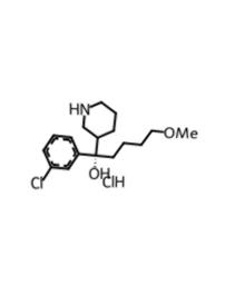 COCCCC[C@@](O)(c1cccc(Cl)c1)C1CCCNC1.Cl